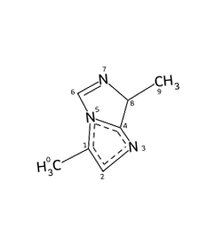 Cc1cnc2n1C=NC2C